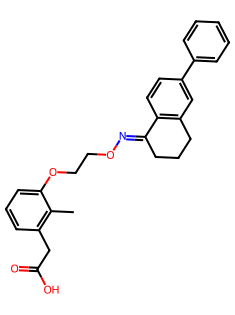 Cc1c(CC(=O)O)cccc1OCCON=C1CCCc2cc(-c3ccccc3)ccc21